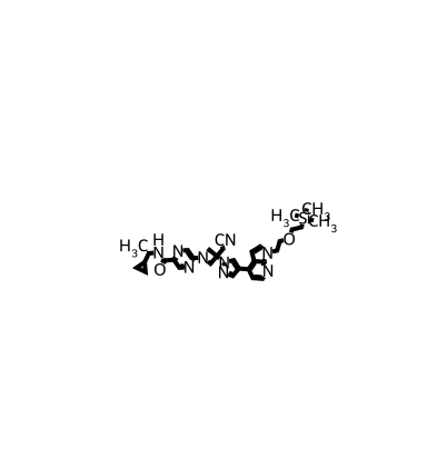 C[C@H](NC(=O)c1cnc(N2CC(CC#N)(n3cc(-c4ccnc5c4ccn5CCOCC[Si](C)(C)C)cn3)C2)cn1)C1CC1